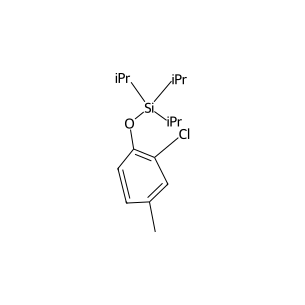 Cc1ccc(O[Si](C(C)C)(C(C)C)C(C)C)c(Cl)c1